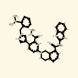 CN(C)c1ccccc1Cn1cc(-c2ccc(N3CCc4cccc(C(=O)Nc5nc6ccccc6s5)c4C3)nc2C(=O)OC(C)(C)C)cn1